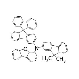 CC1(C)c2ccccc2-c2ccc(N(c3ccc4c(c3)-c3ccccc3C4(c3ccccc3)c3ccccc3)c3cccc4c3oc3ccccc34)cc21